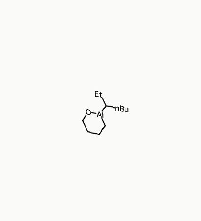 CCCC[CH](CC)[Al]1[CH2]CCC[O]1